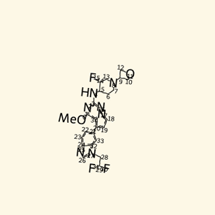 COc1nc(N[C@@H]2CCN(C3COC3)C[C@@H]2F)nn2ccc(-c3ccc4ncn(CC(F)F)c4c3)c12